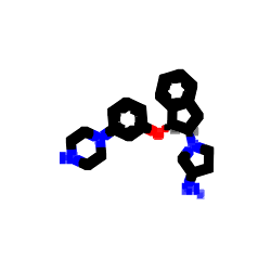 NC1CCN([C@@H]2Cc3ccccc3[C@H]2Oc2cccc(N3CCNCC3)c2)C1